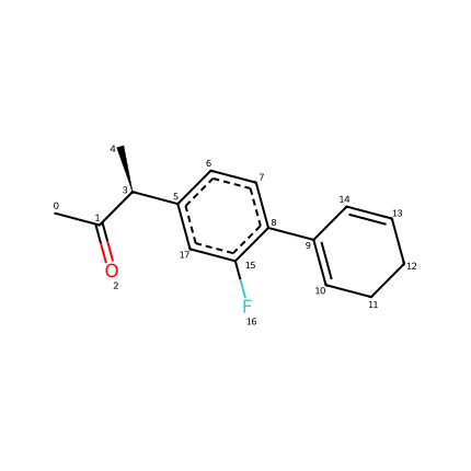 CC(=O)[C@@H](C)c1ccc(C2=CCCC=C2)c(F)c1